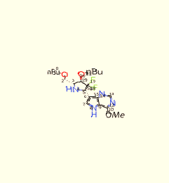 CCCCOC[C@H]1N[C@@H](c2c[nH]c3c(OC)ncnc23)C(F)(F)[C@@H]1OCCCC